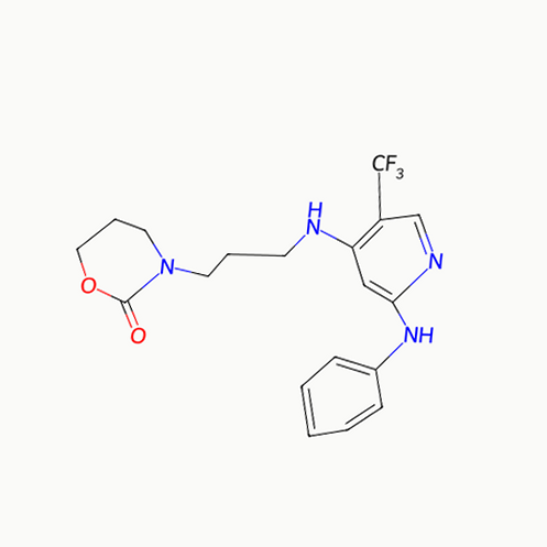 O=C1OCCCN1CCCNc1cc(Nc2ccccc2)ncc1C(F)(F)F